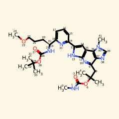 CNC(=O)OC(C)(C)Cc1nc2[nH]c(-c3cccc([C@H](CCCOC)NC(=O)OC(C)(C)C)n3)cc2c2c1ncn2C